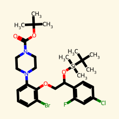 CC(C)(C)OC(=O)N1CCN(c2cccc(Br)c2OCC(O[Si](C)(C)C(C)(C)C)c2ccc(Cl)cc2F)CC1